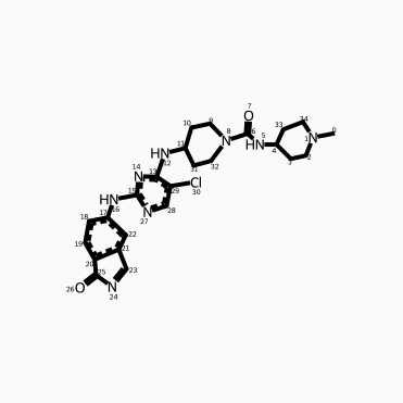 CN1CCC(NC(=O)N2CCC(Nc3nc(Nc4ccc5c(c4)C=NC5=O)ncc3Cl)CC2)CC1